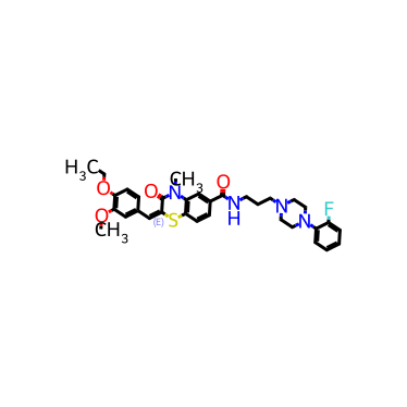 CCOc1ccc(/C=C2/Sc3ccc(C(=O)NCCCN4CCN(c5ccccc5F)CC4)cc3N(C)C2=O)cc1OC